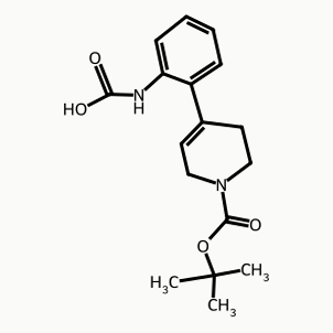 CC(C)(C)OC(=O)N1CC=C(c2ccccc2NC(=O)O)CC1